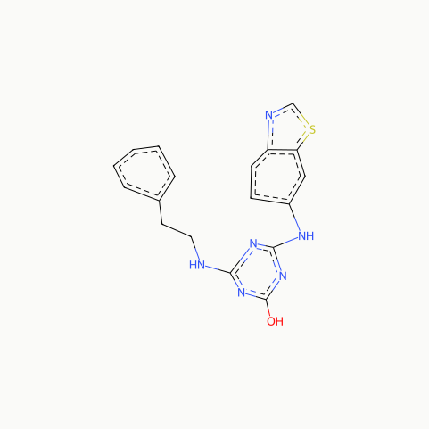 Oc1nc(NCCc2ccccc2)nc(Nc2ccc3ncsc3c2)n1